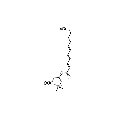 CCCCCCCCCCCCCC=CC=CC=CC(=O)OC(CC(=O)[O-])C[N+](C)(C)C